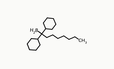 BC(CCCCCCC)(C1CCCCC1)C1CCCCC1